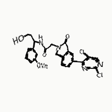 COc1cccc(C(CO)NC(=O)CN2Cc3ccc(-c4nc(Cl)ncc4Cl)cc3C2=O)c1